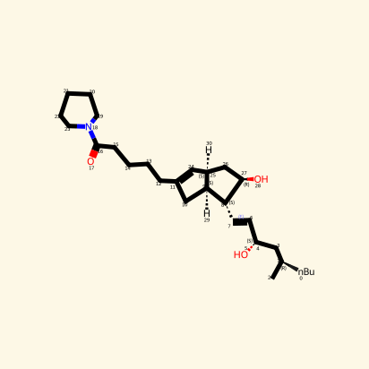 CCCC[C@@H](C)C[C@H](O)/C=C/[C@@H]1[C@H]2CC(CCCCC(=O)N3CCCCC3)=C[C@H]2C[C@H]1O